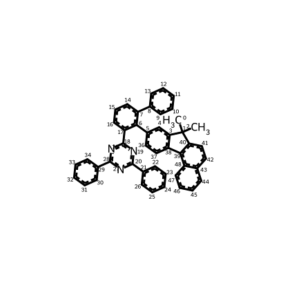 CC1(C)c2cc(-c3c(-c4ccccc4)cccc3-c3nc(-c4ccccc4)nc(-c4ccccc4)n3)ccc2-c2c1ccc1ccccc21